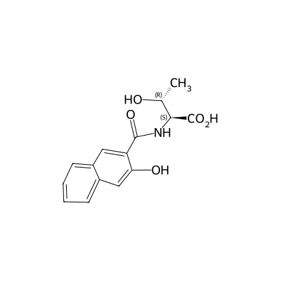 C[C@@H](O)[C@H](NC(=O)c1cc2ccccc2cc1O)C(=O)O